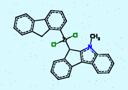 Cn1c2c(c3ccccc31)-c1ccccc1[CH]2[Zr]([Cl])([Cl])[c]1cccc2c1Cc1ccccc1-2